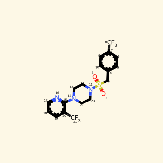 O=S(=O)(Cc1ccc(C(F)(F)F)cc1)N1CCN(c2ncccc2C(F)(F)F)CC1